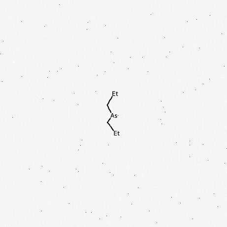 CCC[As]CCC